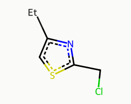 [CH2]Cc1csc(CCl)n1